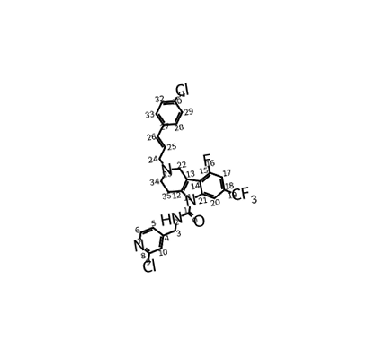 O=C(NCc1ccnc(Cl)c1)n1c2c(c3c(F)cc(C(F)(F)F)cc31)CN(C/C=C/c1ccc(Cl)cc1)CC2